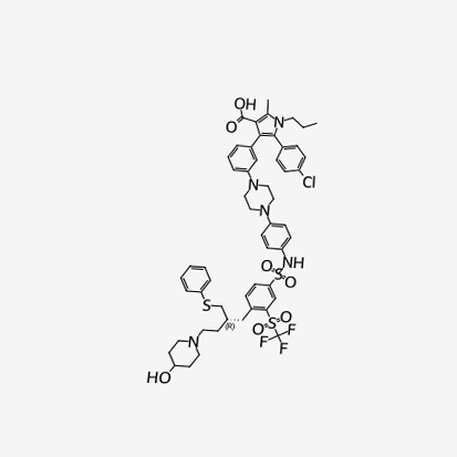 CCCn1c(C)c(C(=O)O)c(-c2cccc(N3CCN(c4ccc(NS(=O)(=O)c5ccc(C[C@H](CCN6CCC(O)CC6)CSc6ccccc6)c(S(=O)(=O)C(F)(F)F)c5)cc4)CC3)c2)c1-c1ccc(Cl)cc1